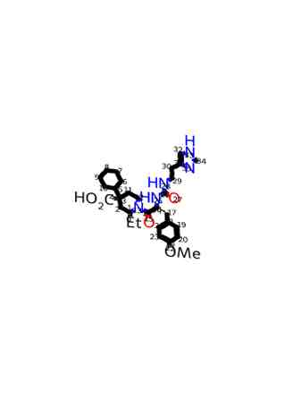 CCC1CC(C(=O)O)(C2CCCCC2)CCN1C(=O)[C@@H](Cc1ccc(OC)cc1)NC(=O)NCCc1c[nH]cn1